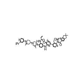 C=CC(=O)Nc1cc(Nc2nc(-c3ccnc(N4CCn5c(cc6c5CC(C)(C)C6)C4=O)c3CO)cn(C)c2=O)ccc1N1CCN(C2CCN(c3ccnc(C(C)C)c3)[C@H](C)C2)C[C@@H]1C